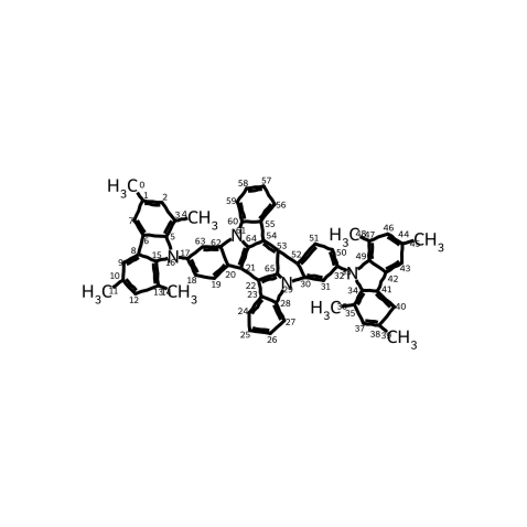 Cc1cc(C)c2c(c1)c1cc(C)cc(C)c1n2-c1ccc2c3c4c5ccccc5n5c6cc(-n7c8c(C)cc(C)cc8c8cc(C)cc(C)c87)ccc6c(c6c7ccccc7n(c2c1)c63)c45